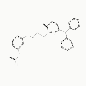 CC(=O)Oc1cccc(SCCCn2nc(C(c3ccccc3)c3ccccc3)ccc2=O)c1